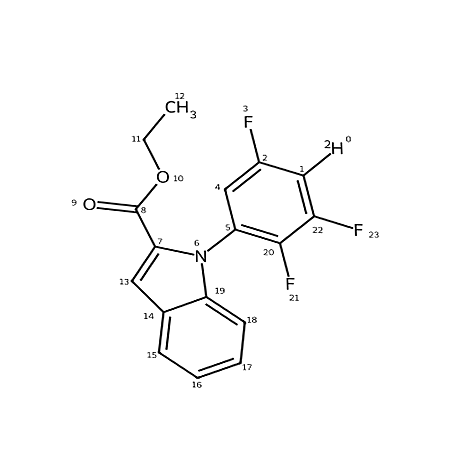 [2H]c1c(F)cc(-n2c(C(=O)OCC)cc3ccccc32)c(F)c1F